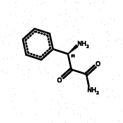 NC(=O)C(=O)[C@H](N)c1ccccc1